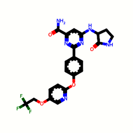 NC(=O)c1cc(NC2CCNC2=O)nc(-c2ccc(Oc3ccc(OCC(F)(F)F)cn3)cc2)n1